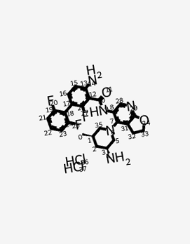 C[C@@H]1C[C@H](N)CN(c2c(NC(=O)c3c(N)ccc(-c4c(F)cccc4F)c3F)cnc3c2CCO3)C1.Cl.Cl